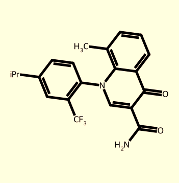 Cc1cccc2c(=O)c(C(N)=O)cn(-c3ccc(C(C)C)cc3C(F)(F)F)c12